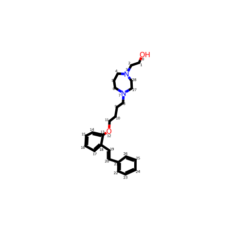 OCCN1CCCN(CCCCOc2ccccc2C=Cc2ccccc2)CC1